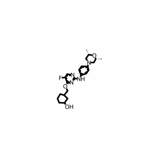 C[C@@H]1CN(c2ccc(Nc3ncc(F)c(OCC4CCCC(O)C4)n3)cc2)C[C@H](C)O1